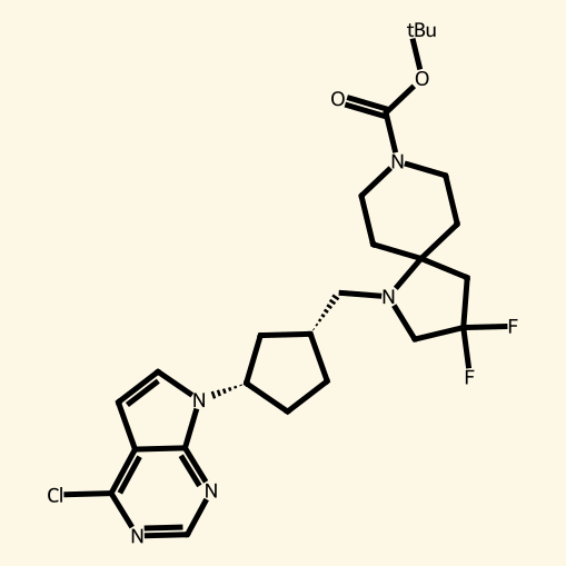 CC(C)(C)OC(=O)N1CCC2(CC1)CC(F)(F)CN2C[C@@H]1CC[C@H](n2ccc3c(Cl)ncnc32)C1